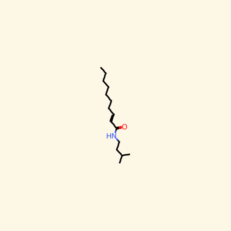 CCCCCCC/C=C/C(=O)NCCC(C)C